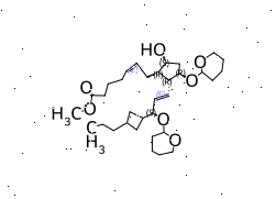 CCCC1CC([C@@H](/C=C/[C@@H]2[C@@H](C/C=C\CCCC(=O)OC)[C@@H](O)C[C@H]2OC2CCCCO2)OC2CCCCO2)C1